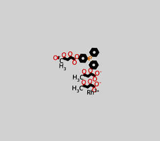 CC(=O)CC(=O)C(=O)[O-].CC(=O)CC(=O)C(=O)[O-].CC(=O)CC(=O)C(=O)[O-].[C]=O.[Rh+3].c1ccc(P(c2ccccc2)c2ccccc2)cc1